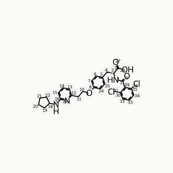 O=C(N[C@@H](Cc1ccc(OCCc2cccc(NC3CCCC3)n2)cc1)C(=O)O)c1c(Cl)cccc1Cl